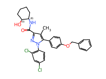 Cc1c(C(=O)N[C@@H]2CCCC[C@@H]2O)nn(-c2ccc(Cl)cc2Cl)c1-c1ccc(OCc2ccccc2)cc1